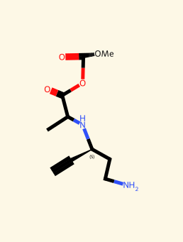 C#C[C@H](CCN)NC(C)C(=O)OC(=O)OC